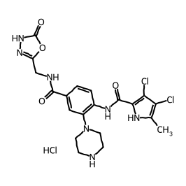 Cc1[nH]c(C(=O)Nc2ccc(C(=O)NCc3n[nH]c(=O)o3)cc2N2CCNCC2)c(Cl)c1Cl.Cl